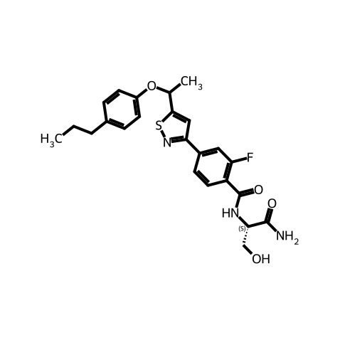 CCCc1ccc(OC(C)c2cc(-c3ccc(C(=O)N[C@@H](CO)C(N)=O)c(F)c3)ns2)cc1